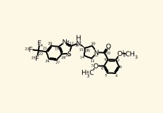 COc1cccc(OC)c1C(=O)N1CC[C@@H](Nc2nc3cc(C(F)(F)F)ccc3s2)C1